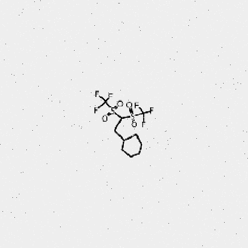 O=S(=O)(C(CC1CCCCC1)S(=O)(=O)C(F)(F)F)C(F)(F)F